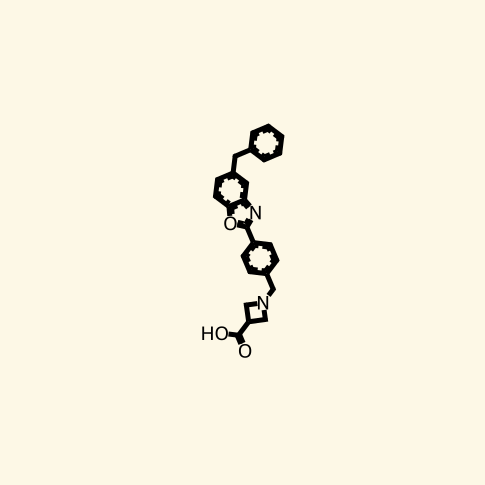 O=C(O)C1CN(Cc2ccc(-c3nc4cc(Cc5ccccc5)ccc4o3)cc2)C1